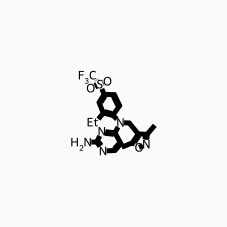 CCc1cc(S(=O)(=O)C(F)(F)F)ccc1N(Cc1c(C)noc1C)c1ccnc(N)n1